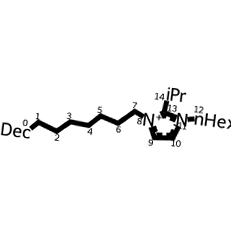 CCCCCCCCCCCCCCCCC[n+]1ccn(CCCCCC)c1C(C)C